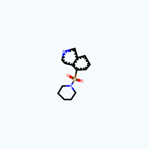 O=S(=O)(c1cccc2cnccc12)N1CCCCC1